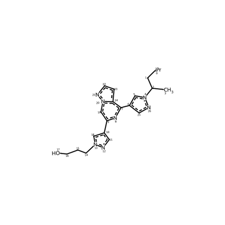 CC(C)CC(C)n1cc(-c2nc(-c3cnn(CCCO)c3)cn3nccc23)cn1